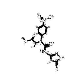 COC(=O)[C@H](C)N(C(=O)Nc1n[nH]c(=S)s1)c1ccc([N+](=O)[O-])cc1